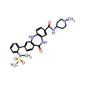 CN1CCC(NC(=O)c2ccc3c(c2)NC(=O)c2ccc(-c4ccccc4N(C)S(C)(=O)=O)cc2N3)CC1